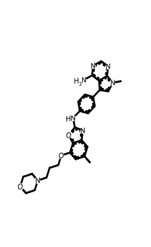 Cc1cc(OCCCN2CCOCC2)c2oc(Nc3ccc(-c4cn(C)c5ncnc(N)c45)cc3)nc2c1